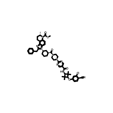 COC(=O)N1c2ccc3c(nc(Cc4ccccc4)n3[C@H]3CCC[C@H](C(=O)N4CCN(c5ncc(C(=O)NC6C(C)(C)C(Oc7ccc(C#N)c(Cl)c7)C6(C)C)cn5)CC4)C3)c2CC[C@@H]1C